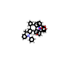 CC1(C)c2ccccc2N(c2ccccc2)c2cc3c(cc21)-c1ccccc1-c1cccc(-n2c4ccccc4c4ccccc42)c1-c1c-3cccc1-n1c2ccccc2c2ccccc21